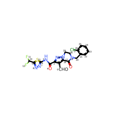 O=Cc1c(C(=O)Nc2nnc(C(F)F)s2)nn2c1C(=O)N(Cc1ccccc1Cl)CC2